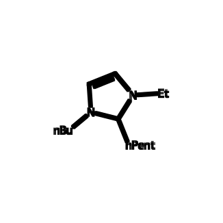 CCCCCC1N(CC)C=CN1CCCC